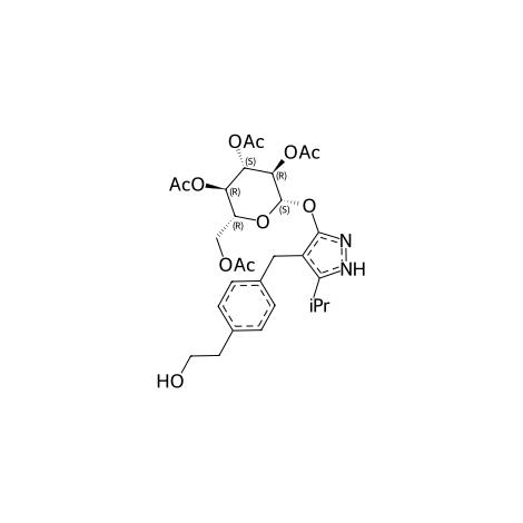 CC(=O)OC[C@H]1O[C@@H](Oc2n[nH]c(C(C)C)c2Cc2ccc(CCO)cc2)[C@H](OC(C)=O)[C@@H](OC(C)=O)[C@@H]1OC(C)=O